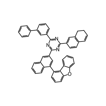 C1=Cc2ccc(-c3nc(-c4cccc(-c5ccccc5)c4)nc(-c4cc(-c5cccc6oc7ccccc7c56)c5ccccc5c4)n3)cc2CC1